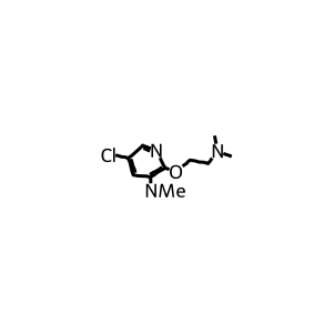 CNc1cc(Cl)cnc1OCCN(C)C